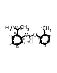 Cc1ccccc1OP(Cl)Oc1ccccc1C(C)C